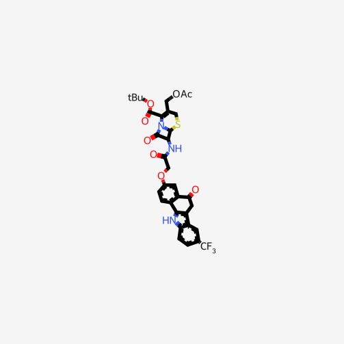 CC(=O)OCC1=C(C(=O)OC(C)(C)C)N2C(=O)C(NC(=O)COc3ccc4c(c3)C(=O)Cc3c-4[nH]c4ccc(C(F)(F)F)cc34)C2SC1